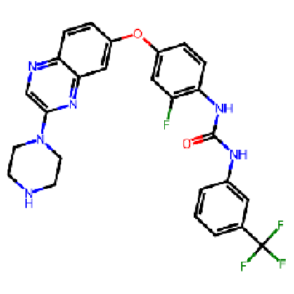 O=C(Nc1cccc(C(F)(F)F)c1)Nc1ccc(Oc2ccc3ncc(N4CCNCC4)nc3c2)cc1F